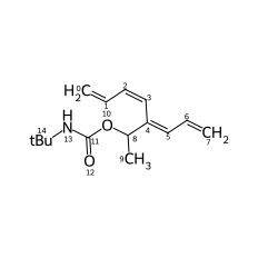 C=C/C=C\C(=C/C=C)C(C)OC(=O)NC(C)(C)C